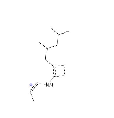 C/C=C\NC1=C(CC(C)CC(C)C)CC1